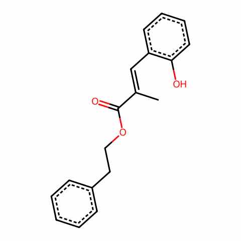 CC(=Cc1ccccc1O)C(=O)OCCc1ccccc1